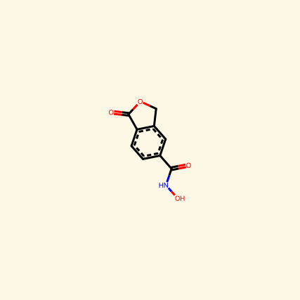 O=C(NO)c1ccc2c(c1)COC2=O